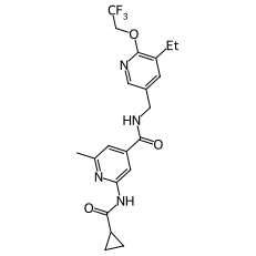 CCc1cc(CNC(=O)c2cc(C)nc(NC(=O)C3CC3)c2)cnc1OCC(F)(F)F